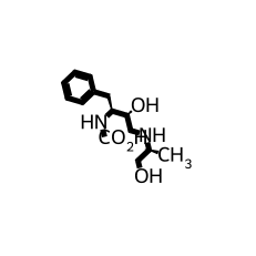 C[C@@H](CO)NC[C@@H](O)[C@H](Cc1ccccc1)NC(=O)O